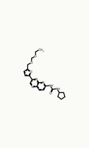 CCOCOCc1ccc(-c2cnc3ccc(NC(=O)NC4CCCC4)nc3n2)o1